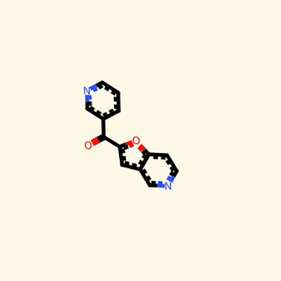 O=C(c1cccnc1)c1cc2cnccc2o1